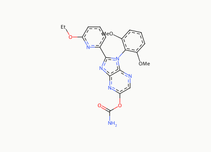 CCOc1cccc(-c2nc3nc(OC(N)=O)cnc3n2-c2c(OC)cccc2OC)n1